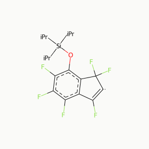 CC(C)[Si](Oc1c(F)c(F)c(F)c2c1C(F)(F)[C]=C2F)(C(C)C)C(C)C